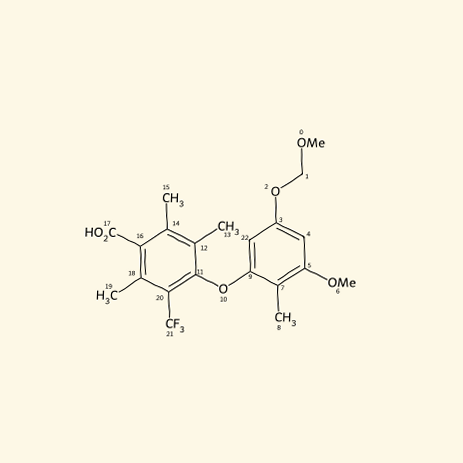 COCOc1cc(OC)c(C)c(Oc2c(C)c(C)c(C(=O)O)c(C)c2C(F)(F)F)c1